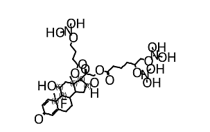 C[C@]12C=CC(=O)C=C1CCC1C3C[C@@H](O)[C@](OC(=O)CCCON(O)O)(C(=O)COC(=O)CCCC(CON(O)O)ON(O)O)[C@@]3(C)C[C@H](O)[C@@]12F